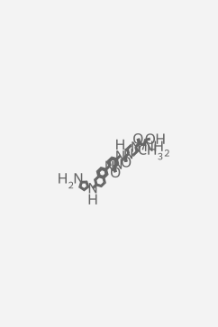 C[C@](N)(CO)C(=O)N1CCN(C(=O)Nc2ccn(-c3ccc4c(c3)CCC(N[C@H]3CC[C@H](N)C3)C4)c(=O)n2)CC1